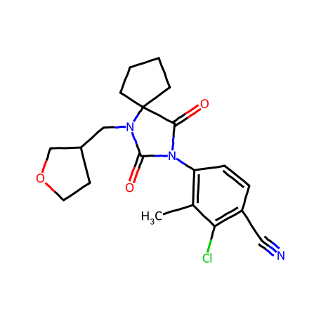 Cc1c(N2C(=O)N(CC3CCOC3)C3(CCCC3)C2=O)ccc(C#N)c1Cl